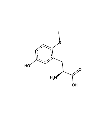 N[C@@H](Cc1cc(O)ccc1SI)C(=O)O